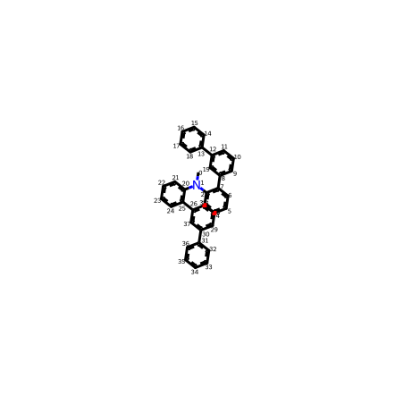 CN(c1ccccc1-c1cccc(-c2ccccc2)c1)c1ccccc1-c1cccc(-c2ccccc2)c1